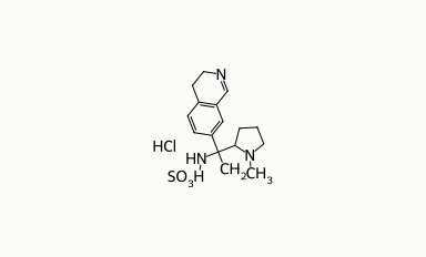 Cl.[CH2]C(NS(=O)(=O)O)(c1ccc2c(c1)C=NCC2)C1CCCN1C